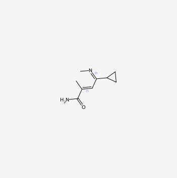 C/N=C(\C=C(/C)C(N)=O)C1CC1